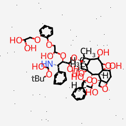 CC(O)O[C@@]12COC1CC(O)C13OC1C(O)C1C(C)[C@@H](OC(O)[C@H](OC(O)COc4ccccc4OCC(O)O)[C@@H](NC(O)OC(C)(C)C)c4ccccc4)CC(O)([C@@H](OC(O)c4ccccc4)[C@@H]32)C1(C)C